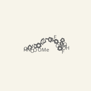 COc1cc(N2CCC(CN3CCN(c4cc5c(c(OC)c4)C(=O)N([C@H]4CCC(=O)NC4=O)C5)CC3)CC2)c(F)cc1[C@@H]1N(c2cccc(F)c2O)C(=O)C12CCCC2